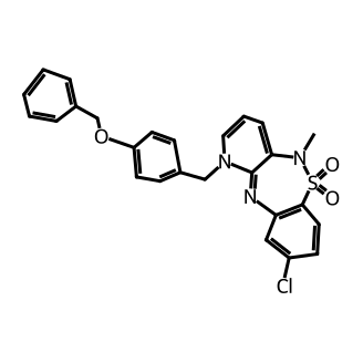 CN1C2=CC=CN(Cc3ccc(OCc4ccccc4)cc3)C2=Nc2cc(Cl)ccc2S1(=O)=O